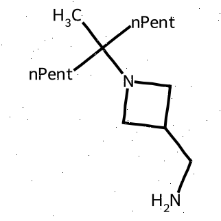 CCCCCC(C)(CCCCC)N1CC(CN)C1